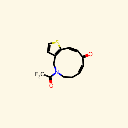 O=C1/C=C\CCN(C(=O)C(F)(F)F)Cc2ccsc2/C=C\1